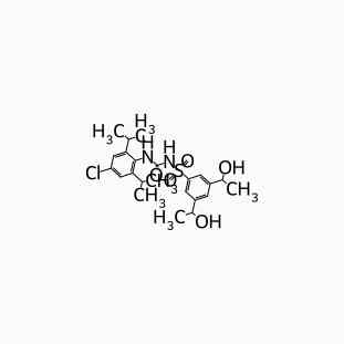 CC(C)c1cc(Cl)cc(C(C)C)c1NC(=O)NS(=O)(=O)c1cc(C(C)O)cc(C(C)O)c1